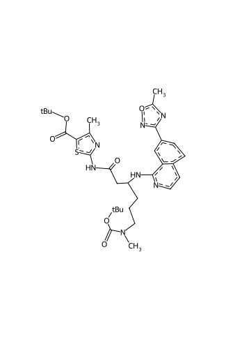 Cc1nc(-c2ccc3ccnc(NC(CCCN(C)C(=O)OC(C)(C)C)CC(=O)Nc4nc(C)c(C(=O)OC(C)(C)C)s4)c3c2)no1